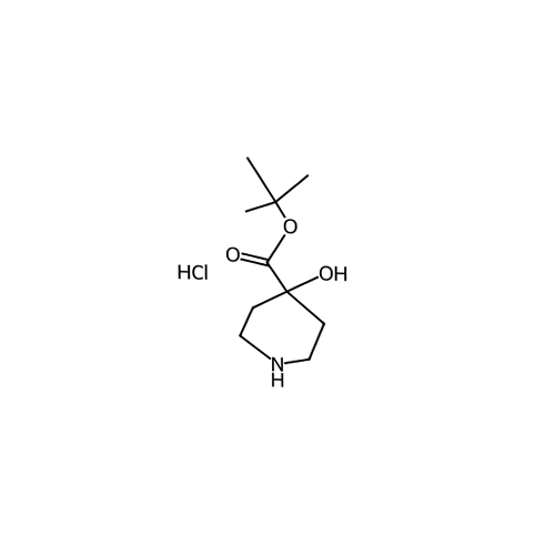 CC(C)(C)OC(=O)C1(O)CCNCC1.Cl